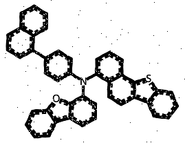 c1ccc2c(-c3ccc(N(c4cccc5c4ccc4c6ccccc6sc54)c4cccc5c4oc4ccccc45)cc3)cccc2c1